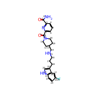 NC(=O)c1cccc(C(=O)N2CCC(CNCCCc3c[nH]c4ccc(F)cc34)CC2)n1